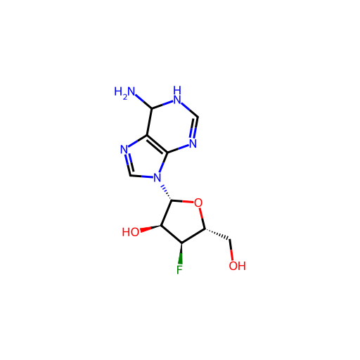 NC1NC=Nc2c1ncn2[C@@H]1O[C@H](CO)[C@@H](F)[C@H]1O